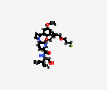 COc1cccc(C2CCN2c2ccc(C(=O)N[C@H](CO)C(C)C)nc2OC[C@@H]2C[C@@H]2COCCCF)c1